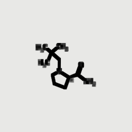 CC(C)(C)CN1CCC[C@@H]1C(N)=O